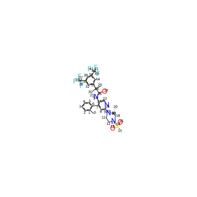 Cc1ccccc1-c1cc(N2CCN(S(C)(=O)=O)C[C@H]2C)ncc1N(C)C(=O)C(C)(C)c1cc(C(F)(F)F)cc(C(F)(F)F)c1